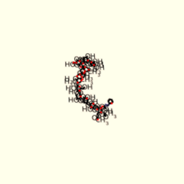 CC(=O)OCC1OC(OC2COC(OC3COC(OC4C(OC5C(CO)OC(OC6CCC7(C)C(CCC8(C)C7CC=C7C9CC(C)(C)CCC9(C(=O)OC9OC(CO)C(O)C(O)C9OC9OCC(O)C(OC%10OCC(O)(CO)C%10O)C9O)CCC78C)C6(C)C)C(O)C5O)OCC(O)C4O)C(O)C3O)C(O)C2O)C(OC(=O)/C=C/c2ccccc2)C(O)C1OC(C)=O